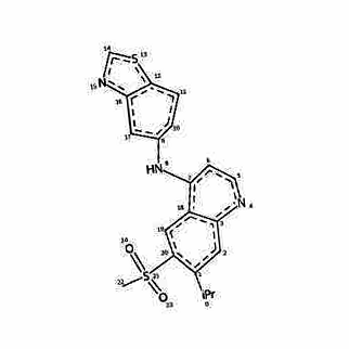 CC(C)c1cc2nccc(Nc3ccc4scnc4c3)c2cc1S(C)(=O)=O